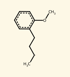 C[CH]CCc1ccccc1OC